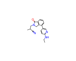 CCNc1ccc(-c2cccc3c2CN(CC(C)C#N)C3=O)cn1